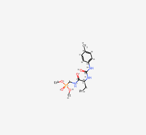 CCOP(=O)(CNC(=O)[C@H](CC(C)C)NC(=O)Nc1ccc(C(F)(F)F)cc1)OCC